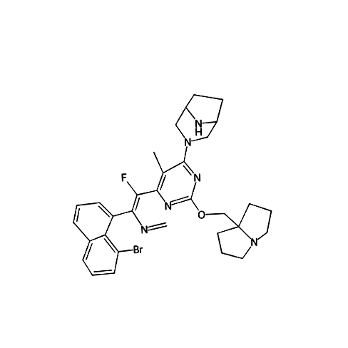 C=N/C(=C(/F)c1nc(OCC23CCCN2CCC3)nc(N2CC3CCC(C2)N3)c1C)c1cccc2cccc(Br)c12